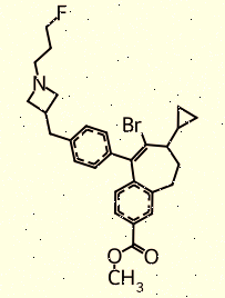 COC(=O)c1ccc2c(c1)CCC(C1CC1)C(Br)=C2c1ccc(CC2CN(CCCF)C2)cc1